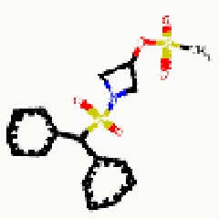 CS(=O)(=O)OC1CN(S(=O)(=O)C(c2ccccc2)c2ccccc2)C1